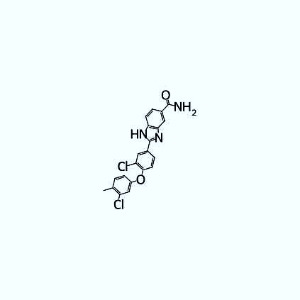 Cc1ccc(Oc2ccc(-c3nc4cc(C(N)=O)ccc4[nH]3)cc2Cl)cc1Cl